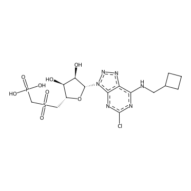 O=P(O)(O)CS(=O)(=O)C[C@H]1O[C@@H](n2nnc3c(NCC4CCC4)nc(Cl)nc32)[C@H](O)[C@@H]1O